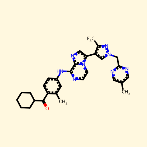 Cc1cnc(Cn2cc(-c3cnc4c(Nc5ccc(C(=O)C6CCCCC6)c(C)c5)nccn34)c(C(F)(F)F)n2)nc1